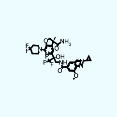 COc1cc(C(=O)NC[C@](O)(c2cc3c(c(N4CCC(F)(F)CC4)n2)OC[C@]3(C)C(N)=O)C(F)(F)F)cc2cn(C3CC3)nc12